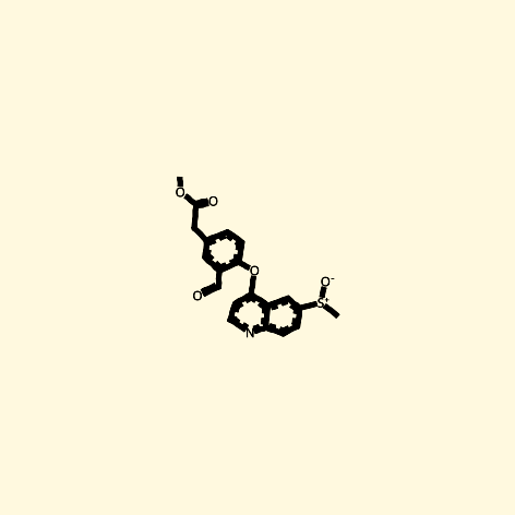 COC(=O)Cc1ccc(Oc2ccnc3ccc([S+](C)[O-])cc23)c(C=O)c1